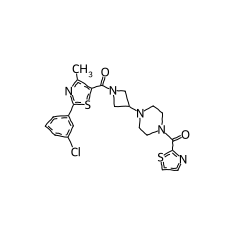 Cc1nc(-c2cccc(Cl)c2)sc1C(=O)N1CC(N2CCN(C(=O)c3nccs3)CC2)C1